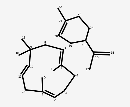 C/C1=C\CC/C(C)=C/CC(C)(C)/C=C/C1.C=C(C)C1CC=C(C)CC1